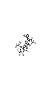 CO[SiH](CC(C)C)OC.CO[Si](OC)(C(C)C)C(C)C